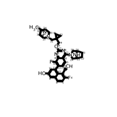 C#Cc1c(F)ccc2cc(O)cc(-c3ccc4c(N5CC6CCC(C5)N6)nc(OCC5(CN6CC7CCC6CN7C)CC5)nc4c3F)c12